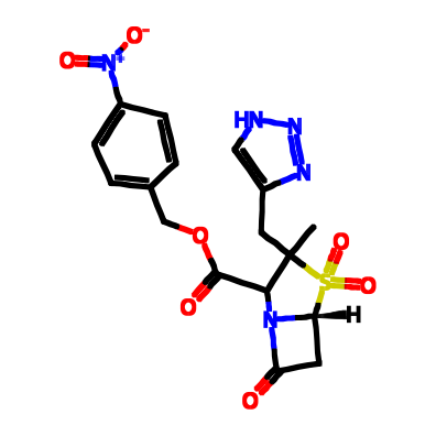 CC1(Cc2c[nH]nn2)C(C(=O)OCc2ccc([N+](=O)[O-])cc2)N2C(=O)C[C@H]2S1(=O)=O